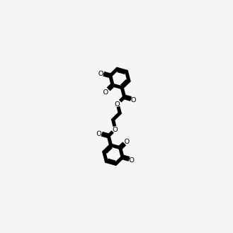 O=C1C=CC=C(C(=O)OCCOC(=O)C2=CC=CC(=O)C2=O)C1=O